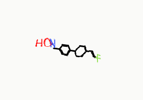 ON=Cc1ccc(C2CCC(C=CF)CC2)cc1